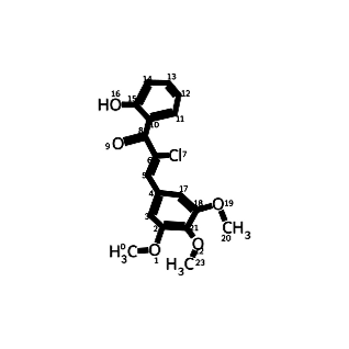 COc1cc(C=C(Cl)C(=O)c2ccccc2O)cc(OC)c1OC